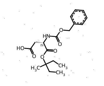 CCC(C)(CC)OC(=O)[C@H](CC(=O)O)NC(=O)OCc1ccccc1